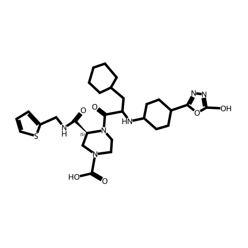 O=C(NCc1cccs1)[C@@H]1CN(C(=O)O)CCN1C(=O)C(CC1CCCCC1)NC1CCC(c2nnc(O)o2)CC1